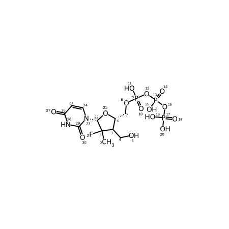 CC1(F)C(CO)[C@@H](COP(=O)(O)OP(=O)(O)OP(=O)(O)O)O[C@H]1n1ccc(=O)[nH]c1=O